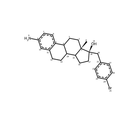 C[C@]12CCC3c4ccc(N)cc4CCC3C1CC[C@@]2(O)Cc1ccc(Br)cc1